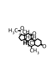 CC(=O)[C@H]1CC[C@H]2[C@@H]3CC(C)C4CC(=O)CC[C@]4(C)[C@H]3C(=O)C[C@]12C